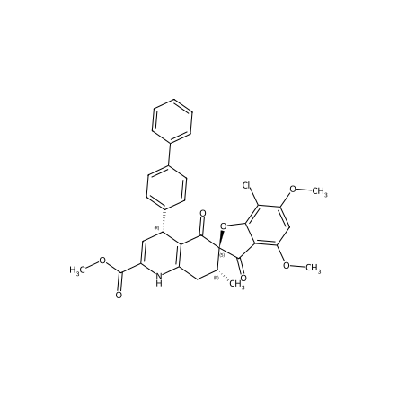 COC(=O)C1=C[C@H](c2ccc(-c3ccccc3)cc2)C2=C(C[C@@H](C)[C@]3(Oc4c(Cl)c(OC)cc(OC)c4C3=O)C2=O)N1